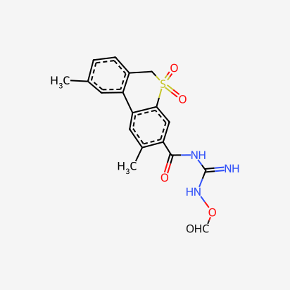 Cc1ccc2c(c1)-c1cc(C)c(C(=O)NC(=N)NOC=O)cc1S(=O)(=O)C2